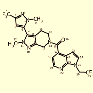 Cn1nc(C(F)(F)F)cc1-c1c2c(nn1C)CN(C(=O)c1ccnc3c1ccn3CC(F)(F)F)CC2